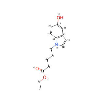 CCOC(=O)CCCCn1ccc2cc(O)ccc21